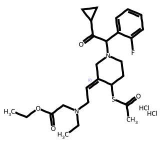 CCOC(=O)CN(CC)C/C=C1/CN(C(C(=O)C2CC2)c2ccccc2F)CCC1SC(C)=O.Cl.Cl